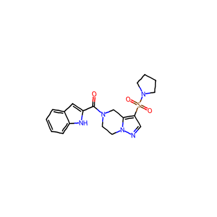 O=C(c1cc2ccccc2[nH]1)N1CCn2ncc(S(=O)(=O)N3CCCC3)c2C1